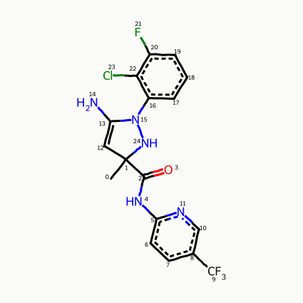 CC1(C(=O)Nc2ccc(C(F)(F)F)cn2)C=C(N)N(c2cccc(F)c2Cl)N1